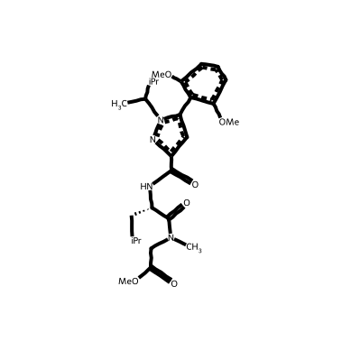 COC(=O)CN(C)C(=O)[C@H](CC(C)C)NC(=O)c1cc(-c2c(OC)cccc2OC)n(C(C)C(C)C)n1